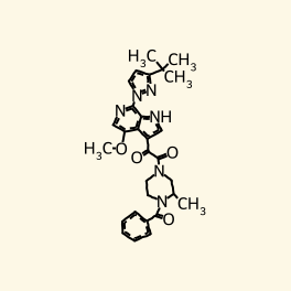 COc1cnc(-n2ccc(C(C)(C)C)n2)c2[nH]cc(C(=O)C(=O)N3CCN(C(=O)c4ccccc4)C(C)C3)c12